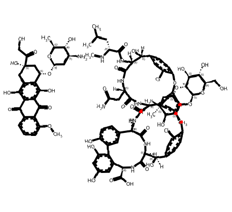 CN[C@H](CC(C)C)C(=O)N[C@H]1C(=O)N[C@@H](CC(N)=O)C(=O)N[C@H]2C(=O)N[C@H]3C(=O)N[C@H](C(=O)N[C@@H](C(=O)O)c4cc(O)cc(O)c4-c4cc3ccc4O)[C@H](O)c3ccc(c(Cl)c3)Oc3cc2cc(c3O[C@@H]2O[C@H](CO)[C@@H](O)[C@H](O)[C@H]2O[C@H]2C[C@](C)(N)C(O)[C@H](C)O2)Oc2ccc(cc2Cl)[C@H]1O.COc1cccc2c1C(=O)c1c(O)c3c(c(O)c1C2=O)C[C@@](O)(C(=O)CO)C[C@@H]3O[C@H]1C[C@H](N)[C@@H](O)[C@H](C)O1